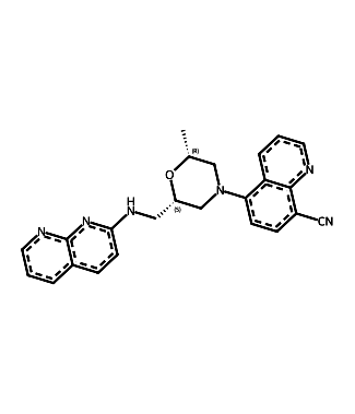 C[C@@H]1CN(c2ccc(C#N)c3ncccc23)C[C@H](CNc2ccc3cccnc3n2)O1